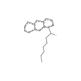 [CH2]C(CCCCCC)c1cccc2cc3ccccc3cc12